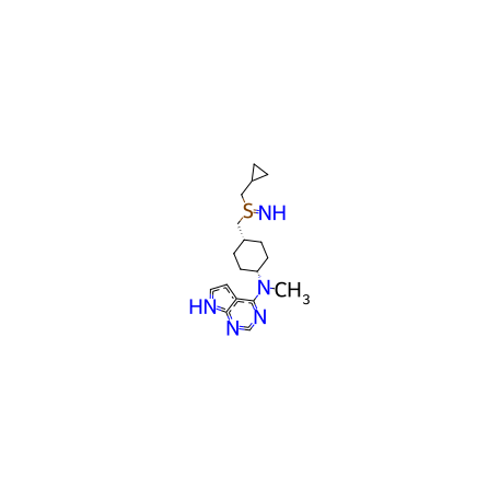 CN(c1ncnc2[nH]ccc12)[C@H]1CC[C@@H](CS(=N)CC2CC2)CC1